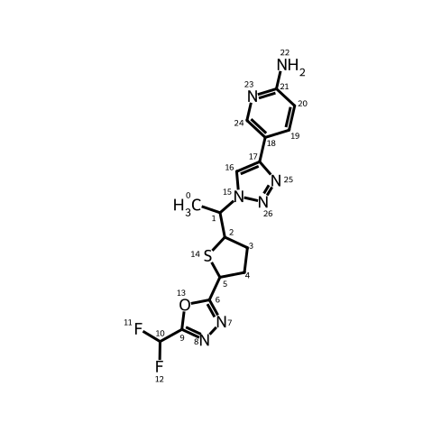 CC(C1CCC(c2nnc(C(F)F)o2)S1)n1cc(-c2ccc(N)nc2)nn1